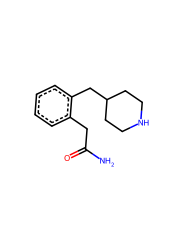 NC(=O)Cc1ccccc1CC1CCNCC1